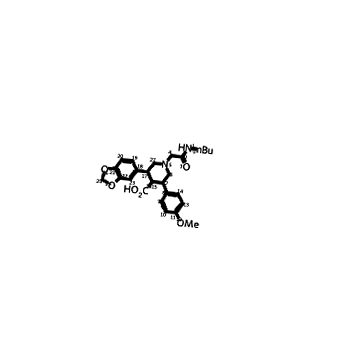 CCCCNC(=O)CN1CC(c2ccc(OC)cc2)C(C(=O)O)C(c2ccc3c(c2)OCO3)C1